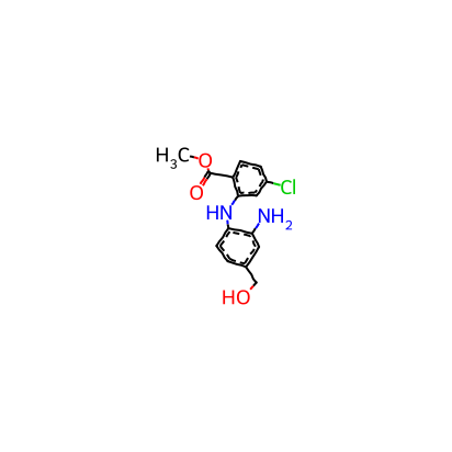 COC(=O)c1ccc(Cl)cc1Nc1ccc(CO)cc1N